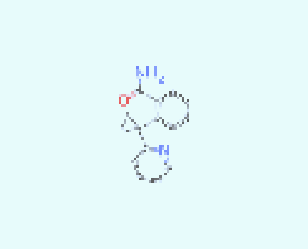 NC(=O)c1ccccc1C1(c2ccccn2)CC1